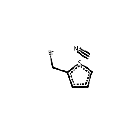 BrCc1cccs1.C#N